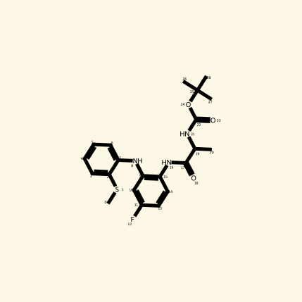 CSc1ccccc1Nc1cc(F)ccc1NC(=O)C(C)NC(=O)OC(C)(C)C